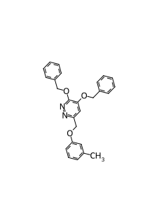 Cc1cccc(OCc2cc(OCc3ccccc3)c(OCc3ccccc3)nn2)c1